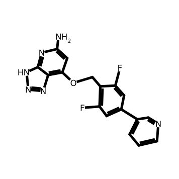 Nc1cc(OCc2c(F)cc(-c3cccnc3)cc2F)c2nn[nH]c2n1